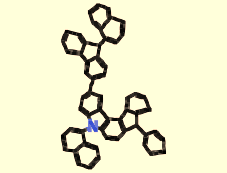 c1ccc(C2c3ccccc3-c3c2ccc2c3c3cc(-c4ccc5c(c4)-c4ccccc4C5c4cccc5ccccc45)ccc3n2-c2cccc3ccccc23)cc1